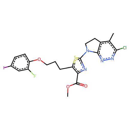 COC(=O)c1nc(N2CCc3c2nnc(Cl)c3C)sc1CCCOc1ccc(I)cc1F